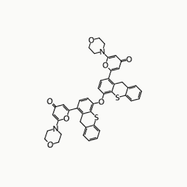 O=c1cc(-c2ccc(Oc3ccc(-c4cc(=O)cc(N5CCOCC5)o4)c4c3Sc3ccccc3C4)c3c2Cc2ccccc2S3)oc(N2CCOCC2)c1